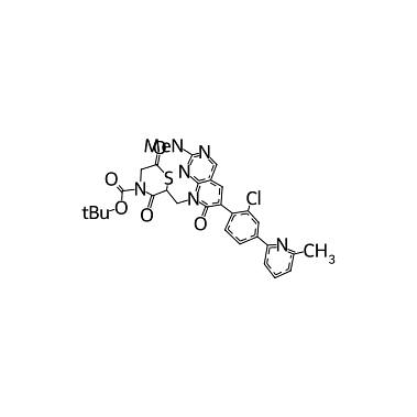 CNc1ncc2cc(-c3ccc(-c4cccc(C)n4)cc3Cl)c(=O)n(CC3SC(=O)CN(C(=O)OC(C)(C)C)C3=O)c2n1